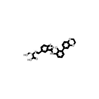 O=C(O)[C@H](CO)N=Cc1ccc2snc(Nc3cccc(-c4ccc5c(c4)OCCO5)c3Cl)c2c1